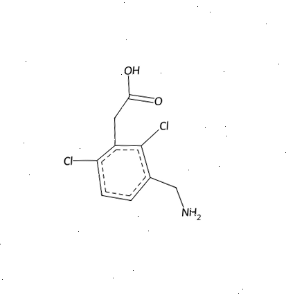 NCc1ccc(Cl)c(CC(=O)O)c1Cl